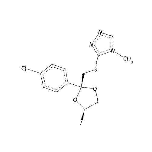 Cn1cnnc1SC[C@@]1(c2ccc(Cl)cc2)OC[C@@H](I)O1